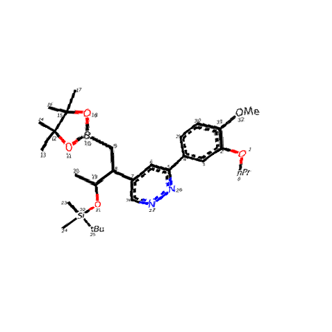 CCCOc1cc(-c2cc(C(CB3OC(C)(C)C(C)(C)O3)C(C)O[Si](C)(C)C(C)(C)C)cnn2)ccc1OC